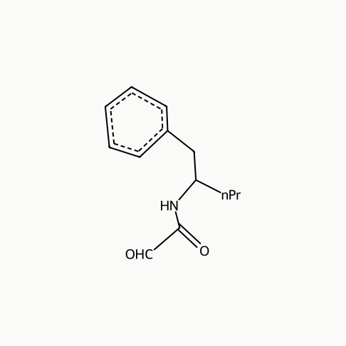 CCCC(Cc1ccccc1)NC(=O)C=O